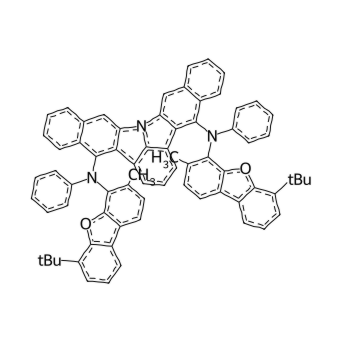 Cc1ccc2c(oc3c(C(C)(C)C)cccc32)c1N(c1ccccc1)c1c2ccccc2cc2c1c1cccc3c4c(N(c5ccccc5)c5c(C)ccc6c5oc5c(C(C)(C)C)cccc56)c5ccccc5cc4n2c13